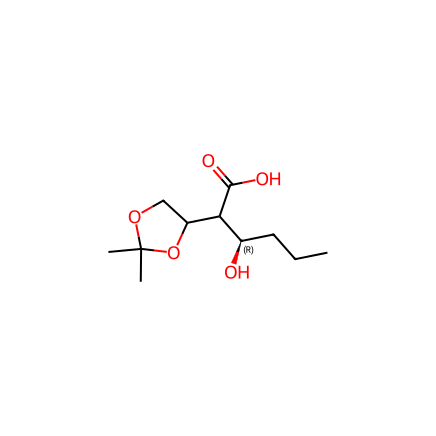 CCC[C@@H](O)C(C(=O)O)C1COC(C)(C)O1